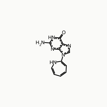 Nc1nc2c(ncn2C2=CC=CC=CN2)c(=O)[nH]1